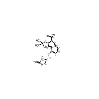 CC(C)(C)Oc1cc2c(OC[C@@H]3CCC(=O)N3)nccc2cc1C(N)=O